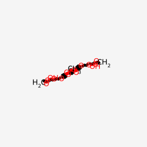 C=CC(=O)OCC(O)COCCCCOc1ccc(C(=O)Oc2ccc(OC(=O)c3ccc(OCCCCOCC(O)COC(=O)C=C)cc3)c(C)c2)cc1